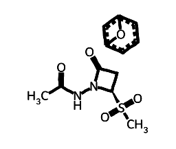 CC(=O)NN1C(=O)C[C@H]1S(C)(=O)=O.c1cc2cc(c1)O2